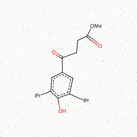 COC(=O)CCC(=O)c1cc(C(C)C)c(O)c(C(C)C)c1